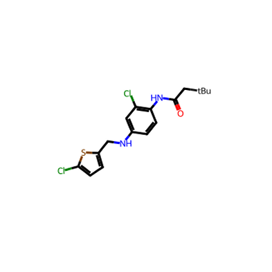 CC(C)(C)CC(=O)Nc1ccc(NCc2ccc(Cl)s2)cc1Cl